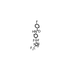 O=C(Nc1ccc(C(F)(F)c2noc(C(F)(F)F)n2)cc1)c1ccc(F)cc1